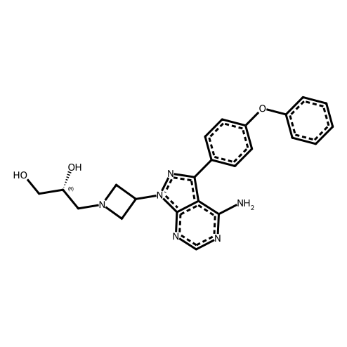 Nc1ncnc2c1c(-c1ccc(Oc3ccccc3)cc1)nn2C1CN(C[C@@H](O)CO)C1